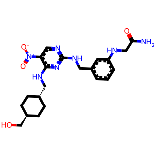 NC(=O)CNc1cccc(CNc2ncc([N+](=O)[O-])c(NC[C@H]3CC[C@H](CO)CC3)n2)c1